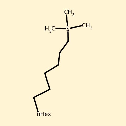 CCCCCCCCCCCCS(C)(C)C